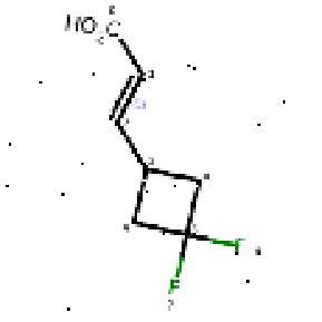 O=C(O)/C=C/C1CC(F)(F)C1